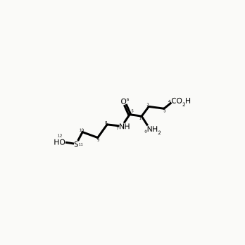 NC(CCC(=O)O)C(=O)NCCCSO